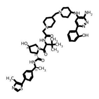 Cc1ncsc1-c1ccc([C@H](C)NC(=O)[C@@H]2C[C@@H](O)CN2C(=O)C(NC(=O)CN2CCC(CN3CCC(Nc4cc(-c5ccccc5O)nnc4N)CC3)CC2)C(C)(C)C)cc1